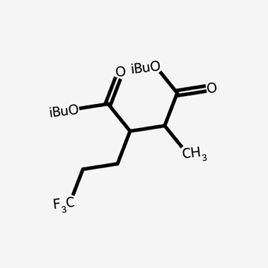 CC(C)COC(=O)C(C)C(CCC(F)(F)F)C(=O)OCC(C)C